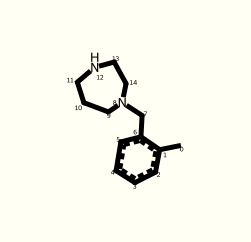 Cc1ccccc1CN1CCCNCC1